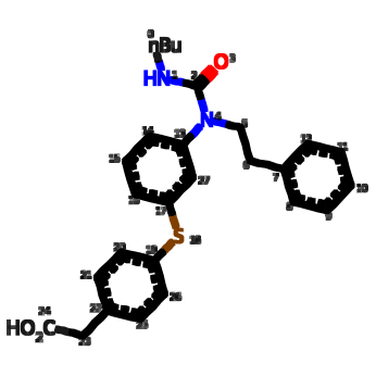 CCCCNC(=O)N(CCc1ccccc1)c1cccc(Sc2ccc(CC(=O)O)cc2)c1